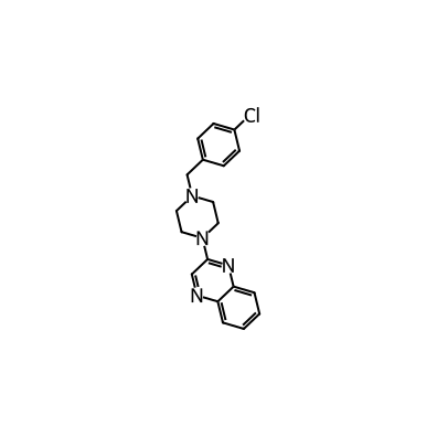 Clc1ccc(CN2CCN(c3cnc4ccccc4n3)CC2)cc1